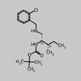 CC[C@H](C)[C@@H](CNCc1ccccc1Cl)NC(=O)OC(C)(C)C